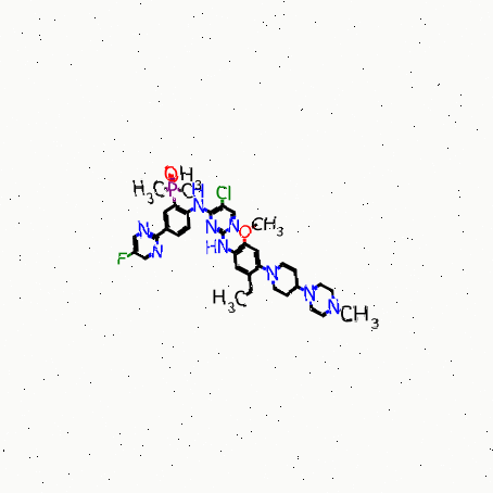 CCc1cc(Nc2ncc(Cl)c(Nc3ccc(-c4ncc(F)cn4)cc3P(C)(C)=O)n2)c(OC)cc1N1CCC(N2CCN(C)CC2)CC1